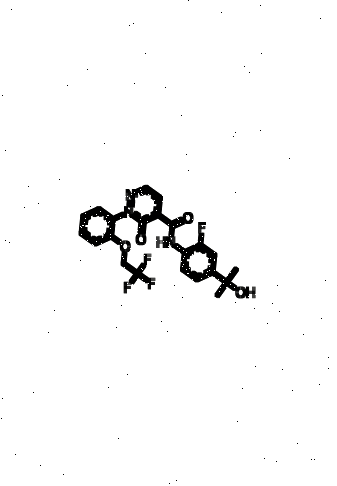 CC(C)(O)c1ccc(NC(=O)c2ccnn(-c3ccccc3OCC(F)(F)F)c2=O)c(F)c1